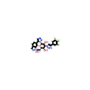 OCC[C@H]1O[C@@H](n2nncc2-c2ccc3cn[nH]c3c2)[C@H](O)[C@@H](n2cc(-c3cc(F)c(F)c(F)c3)nn2)[C@H]1O